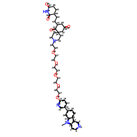 Cn1c2ccncc2c2ccc(-c3ccc(OCCOCCOCCOCCOCCN4CCC5(CC4)CC(=O)CC(CCC4CCC(=O)NC4=O)C5=O)nc3)cc21